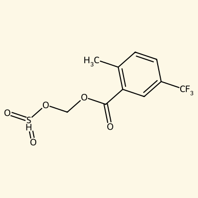 Cc1ccc(C(F)(F)F)cc1C(=O)OCO[SH](=O)=O